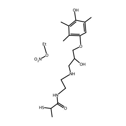 CCO[N+](=O)[O-].Cc1cc(OCC(O)CNCCNC(=O)C(C)S)c(C)c(C)c1O